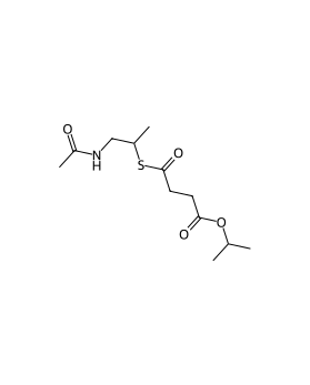 CC(=O)NCC(C)SC(=O)CCC(=O)OC(C)C